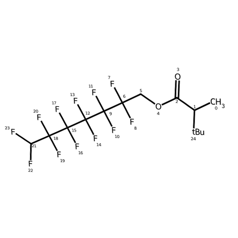 CC(C(=O)OCC(F)(F)C(F)(F)C(F)(F)C(F)(F)C(F)(F)C(F)F)C(C)(C)C